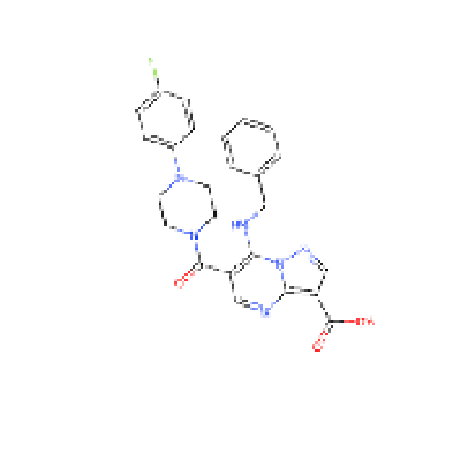 O=C(O)c1cnn2c(NCc3ccccc3)c(C(=O)N3CCN(c4ccc(F)cc4)CC3)cnc12